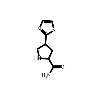 NC(=O)C1CC(c2nccs2)CN1